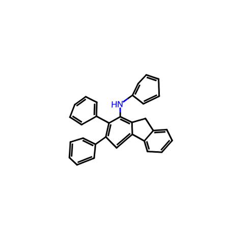 c1ccc(Nc2c3c(cc(-c4ccccc4)c2-c2ccccc2)-c2ccccc2C3)cc1